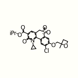 CC(C)OC(=O)c1cc2c(n(C3CC3)c1=O)-c1cc(Cl)c(OCC3(C)CCO3)cc1S(=O)(=O)C2